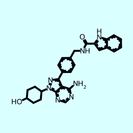 Nc1ncnc2c1c(-c1ccc(CNC(=O)c3cc4ccccc4[nH]3)cc1)nn2C1CCC(O)CC1